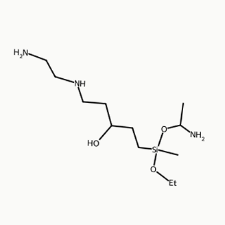 CCO[Si](C)(CCC(O)CCNCCN)OC(C)N